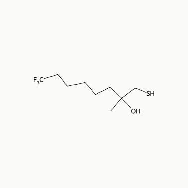 CC(O)(CS)CCCCCC(F)(F)F